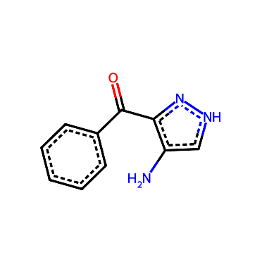 Nc1c[nH]nc1C(=O)c1ccccc1